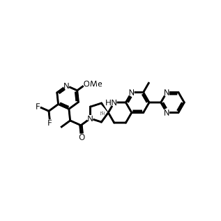 COc1cc(C(C)C(=O)N2CC[C@@]3(CCc4cc(-c5ncccn5)c(C)nc4N3)C2)c(C(F)F)cn1